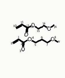 C=CC(=O)OCCCOC.C=CC(=O)OCCOC